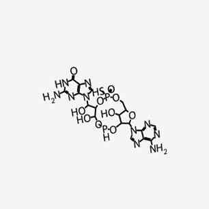 Nc1nc2c(ncn2C(O)C2OP(=O)(S)OCC3OC(n4cnc5c(N)ncnc54)C(OPOC2O)C3O)c(=O)[nH]1